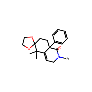 CC(C)N1CC=C2C(c3ccccc3)(CCC3(OCCO3)C2(C)C)C1=O